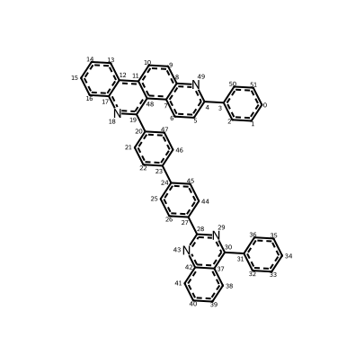 c1ccc(-c2ccc3c(ccc4c5ccccc5nc(-c5ccc(-c6ccc(-c7nc(-c8ccccc8)c8ccccc8n7)cc6)cc5)c34)n2)cc1